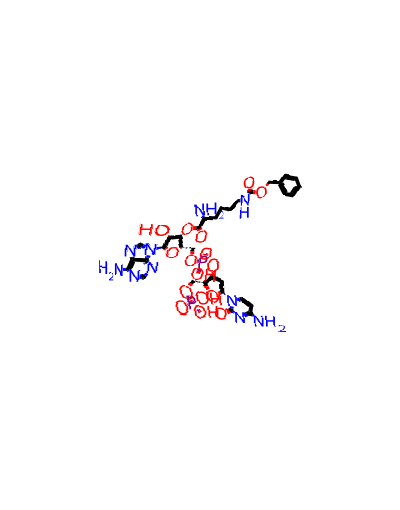 Nc1ccn([C@H]2C[C@H](OP(=O)(O)OC[C@@H]3O[C@@H](n4cnc5c(N)ncnc54)[C@H](O)[C@@H]3OC(=O)C(N)CCCCNC(=O)OCc3ccccc3)[C@@H](COP(=O)(O)O)O2)c(=O)n1